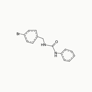 O=C(NCc1ccc(Br)cc1)Nc1ccccc1